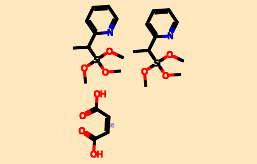 CO[Si](OC)(OC)C(C)c1ccccn1.CO[Si](OC)(OC)C(C)c1ccccn1.O=C(O)/C=C\C(=O)O